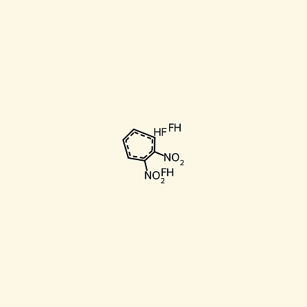 F.F.F.O=[N+]([O-])c1ccccc1[N+](=O)[O-]